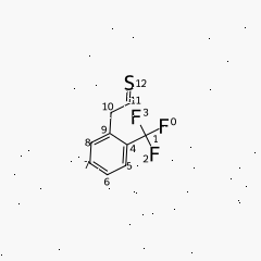 FC(F)(F)c1ccccc1CC=S